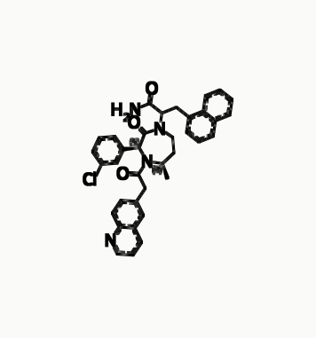 C[C@@H]1CCN(C(Cc2cccc3ccccc23)C(N)=O)C(=O)[C@H](c2cccc(Cl)c2)N1C(=O)Cc1ccc2ncccc2c1